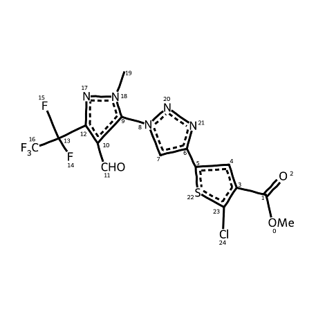 COC(=O)c1cc(-c2cn(-c3c(C=O)c(C(F)(F)C(F)(F)F)nn3C)nn2)sc1Cl